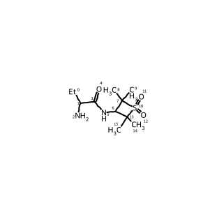 CCC(N)C(=O)NC1C(C)(C)S(=O)(=O)C1(C)C